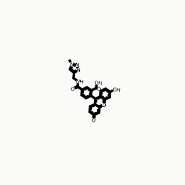 Cn1cc(CNC(=O)c2ccc(-c3c4ccc(=O)cc-4oc4cc(O)ccc34)c(C(=O)O)c2)nn1